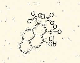 O=S(=O)(Cl)c1c(S(=O)(=O)Cl)c2ccc3cccc4cc(O)c(c1S(=O)(=O)Cl)c2c34